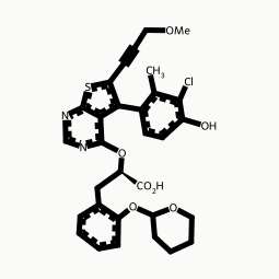 COCC#Cc1sc2ncnc(O[C@H](Cc3ccccc3OC3CCCCO3)C(=O)O)c2c1-c1ccc(O)c(Cl)c1C